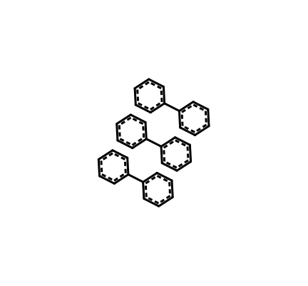 c1ccc(-c2ccccc2)cc1.c1ccc(-c2ccccc2)cc1.c1ccc(-c2ccccc2)cc1